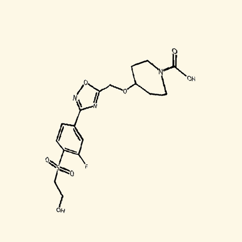 O=C(O)N1CCC(OCc2nc(-c3ccc(S(=O)(=O)CCO)c(F)c3)no2)CC1